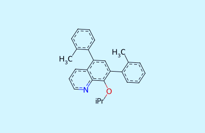 Cc1ccccc1-c1cc(-c2ccccc2C)c2cccnc2c1OC(C)C